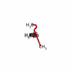 CCCCC/C=C\C/C=C\CCCC/C=C\CCCC(=O)O[C@H](COC(=O)CCCCCCCCCCCCCCCCC)COP(=O)(O)OCC[N+](C)(C)C